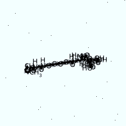 CC1CCCC(C)N1CC(=O)NCCC(=O)NCCOCCOCCOCCOCCC(=O)NCCCc1cn([C@@H]2O[C@H](COP(=O)(O)O)[C@H](OP(=O)(O)O)[C@@H]2O)c(=O)nc1N